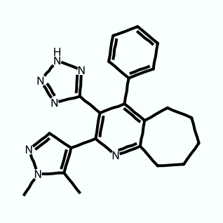 Cc1c(-c2nc3c(c(-c4ccccc4)c2-c2nn[nH]n2)CCCCC3)cnn1C